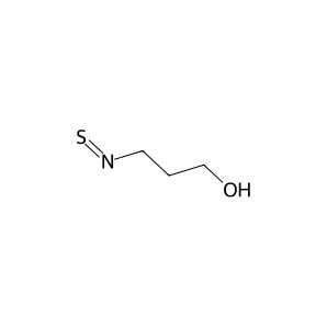 OCCCN=S